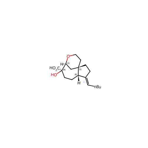 CCCC/C=C1\CC[C@]23CCO[C@@H](C2)[C@@](O)(C(=O)O)CC[C@@H]13